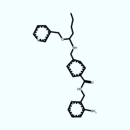 CCCCC(NCc1ccc(C(=O)NCc2ccccc2N)cc1)OCc1cccnc1